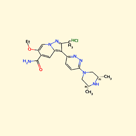 CCOc1cn2nc(C)c(-c3ccc(N4C[C@@H](C)N[C@@H](C)C4)nn3)c2cc1C(N)=O.Cl